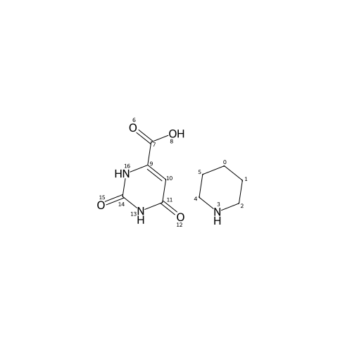 C1CCNCC1.O=C(O)c1cc(=O)[nH]c(=O)[nH]1